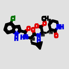 COC(=O)[C@H](C[C@@H]1CCCNC1=O)NC(=O)[C@H](CC1CC1)NC(=O)c1cc2c(Cl)cccc2[nH]1